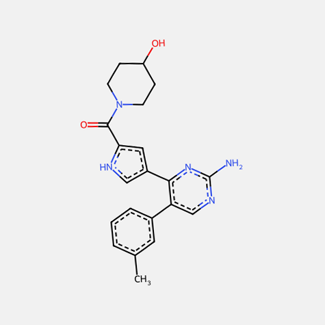 Cc1cccc(-c2cnc(N)nc2-c2c[nH]c(C(=O)N3CCC(O)CC3)c2)c1